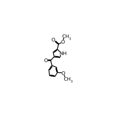 COC(=O)c1cc(C(=O)c2cccc(OC)c2)c[nH]1